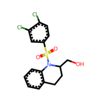 O=S(=O)(c1ccc(Cl)c(Cl)c1)N1c2ccccc2CCC1CO